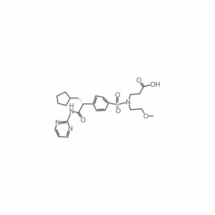 COCCN(CCC(=O)O)S(=O)(=O)c1ccc([C@@H](CC2CCCC2)C(=O)Nc2ncccn2)cc1